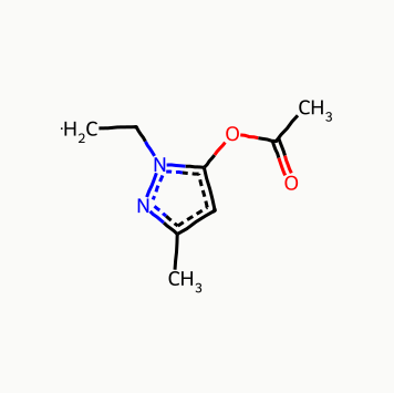 [CH2]Cn1nc(C)cc1OC(C)=O